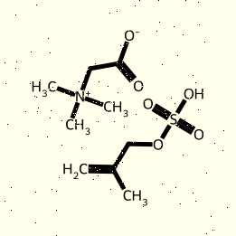 C=C(C)COS(=O)(=O)O.C[N+](C)(C)CC(=O)[O-]